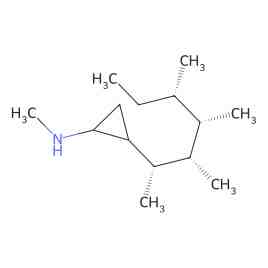 CC[C@H](C)[C@H](C)[C@H](C)[C@H](C)C1CC1NC